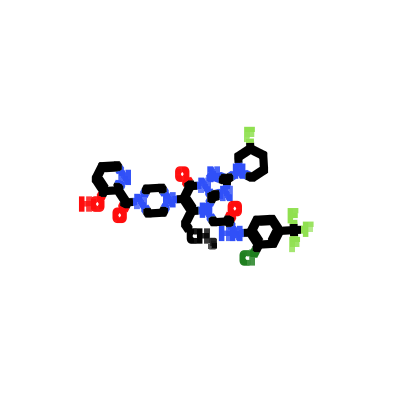 CCc1c(N2CCN(C(=O)c3ncccc3O)CC2)c(=O)n2nc(N3CCCC(F)C3)nc2n1CC(=O)Nc1ccc(C(F)(F)F)cc1Cl